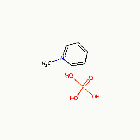 C[n+]1ccccc1.O=P(O)(O)O